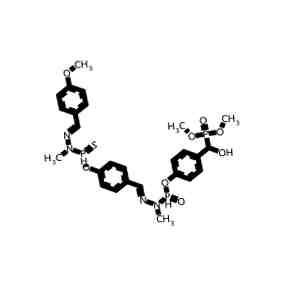 COc1ccc(/C=N/N(C)[PH](=S)Oc2ccc(/C=N/N(C)[PH](=O)Oc3ccc(C(O)P(=O)(OC)OC)cc3)cc2)cc1